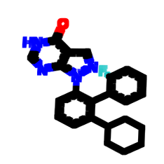 O=c1[nH]cnc2c1cnn2-c1cccc(C2CCCCC2)c1-c1ccccc1F